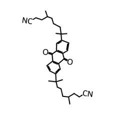 CC(CCC#N)CCCC(C)(C)c1ccc2c(c1)C(=O)c1ccc(C(C)(C)CCCC(C)CCC#N)cc1C2=O